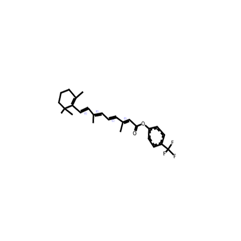 CC1=C(/C=C/C(C)=C/C=C/C(C)=C/C(=O)Oc2ccc(C(F)(F)F)cc2)C(C)(C)CCC1